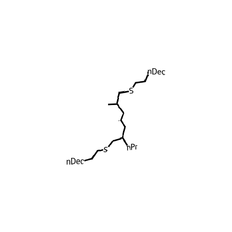 CCCCCCCCCCCCSCC(C)C[CH]CC(CCC)CSCCCCCCCCCCCC